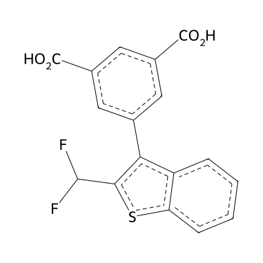 O=C(O)c1cc(C(=O)O)cc(-c2c(C(F)F)sc3ccccc23)c1